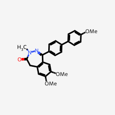 COc1ccc(-c2ccc(C3=NN(C)C(=O)Cc4cc(OC)c(OC)cc43)cc2)cc1